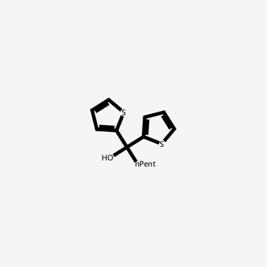 CCCCCC(O)(c1cccs1)c1cccs1